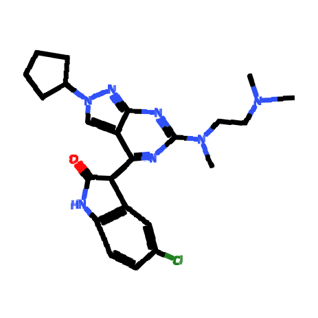 CN(C)CCN(C)c1nc(C2C(=O)Nc3ccc(Cl)cc32)c2cn(C3CCCC3)nc2n1